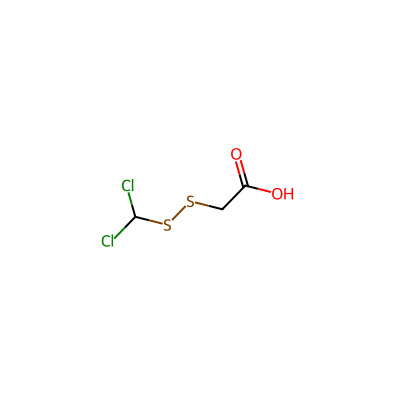 O=C(O)CSSC(Cl)Cl